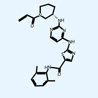 C=CC(=O)N1CCC[C@H](Nc2nccc(Nc3ncc(C(=O)Nc4c(C)cccc4C)s3)n2)C1